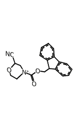 N#CC1C[N+](C(=O)OCC2c3ccccc3-c3ccccc32)CCO1